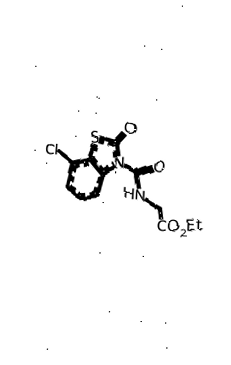 CCOC(=O)CNC(=O)n1c(=O)sc2c(Cl)cccc21